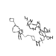 CC(C)(C[C@H]1O[C@@H](n2cnc3c(N)ncnc32)[C@H](O)[C@@H]1O)NC1CC(CCc2nc3cc(C4CCC4)ccc3[nH]2)C1